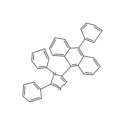 c1ccc(-c2c3ccccc3c(-c3cnc(-c4ccccc4)n3-c3ccccc3)c3ccccc23)cc1